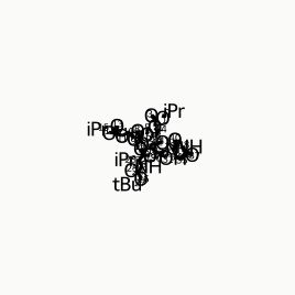 CC(C)OC(=O)OCOP(=O)(OCOC(=O)OC(C)C)OC1[C@]2(OC(=O)[C@H](NC(=O)OC(C)(C)C)C(C)C)[C@@](C)(O)[C@H](n3ccc(=O)[nH]c3=O)O[C@]12CF